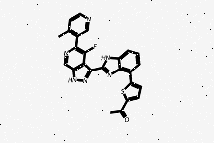 CC(=O)c1ccc(-c2cccc3[nH]c(-c4n[nH]c5cnc(-c6cnccc6C)c(F)c45)nc23)s1